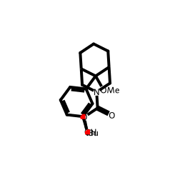 COC1(c2cccc(O)c2)C2CCCC1CN(C(=O)OC(C)(C)C)C2